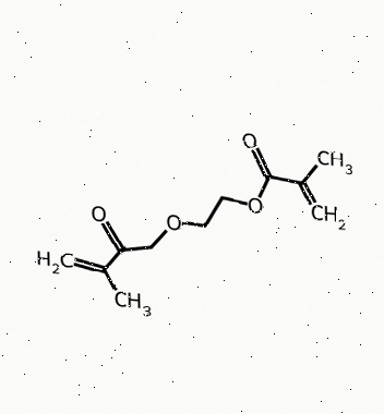 C=C(C)C(=O)COCCOC(=O)C(=C)C